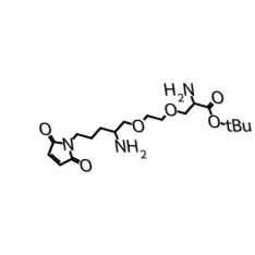 CC(C)(C)OC(=O)C(N)COCCOCC(N)CCCN1C(=O)C=CC1=O